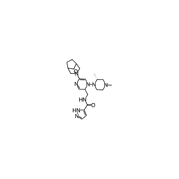 C[C@@H]1CN(C)CCN1N1C=C(N2CC3CCC(C2)C3=O)N=CC1CNC(=O)c1ccn[nH]1